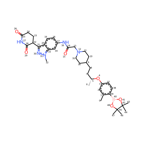 Cc1cc(O[C@H](C)CCC2CCN(CC(=O)Nc3ccc4c(C5CCC(=O)NC5=O)nn(C)c4c3)CC2)ccc1B1OC(C)(C)C(C)(C)O1